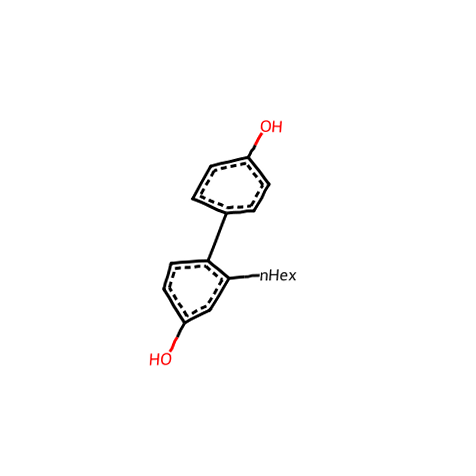 CCCCCCc1cc(O)ccc1-c1ccc(O)cc1